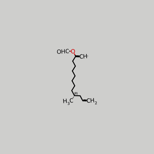 [CH]=C(CCCCCCC[C@@H](C)CC=C)OC=O